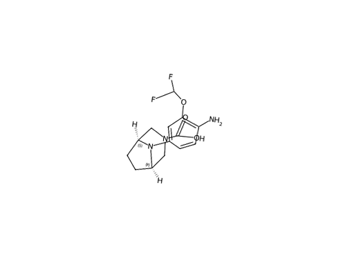 Nc1ccc(N2[C@@H]3CC[C@H]2CN(C(=O)O)C3)cc1OC(F)F